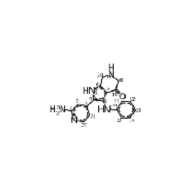 Nc1cc(-c2[nH]c3c(c2Nc2ccccc2)C(=O)CNC3)ccn1